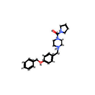 O=C(N1CCCC1)N1CCN(Cc2ccc(OCc3ccccc3)cc2)CC1